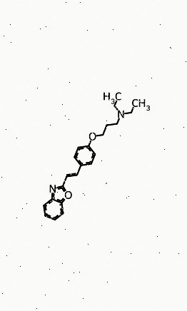 CCN(CC)CCCOc1ccc(/C=C/c2nc3ccccc3o2)cc1